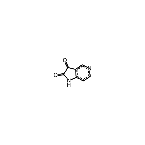 O=C1Nc2ccncc2C1=O